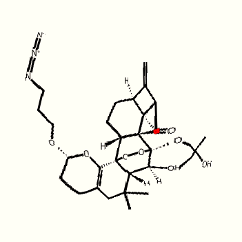 C=C1C2C(=O)[C@]34[C@H]2[C@H]1CC[C@H]3[C@@]12CO[C@]4(OC(C)(C)O)[C@@H](O)[C@@H]1C(C)(C)CC1=C2O[C@@H](OCCCN=[N+]=[N-])CC1